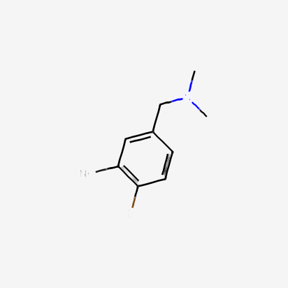 CN(C)Cc1ccc(Br)c(C#N)c1